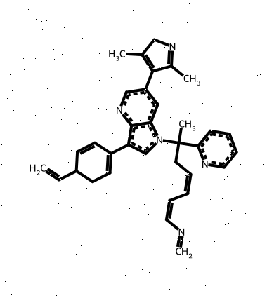 C=CC1C=CC(c2cn(C(C)(C/C=C\C=C/N=C)c3ccccn3)c3cc(C4=C(C)CN=C4C)cnc23)=CC1